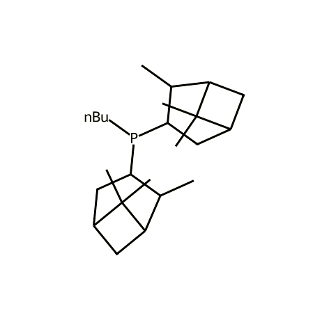 CCCCP(C1CC2CC(C1C)C2(C)C)C1CC2CC(C1C)C2(C)C